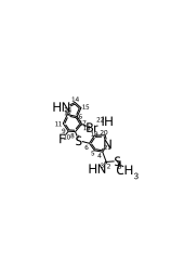 CSC(=N)c1cc(Sc2c(F)cc3[nH]ccc3c2Br)ccn1.I